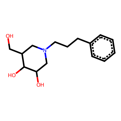 OCC1CN(CCCc2ccccc2)CC(O)C1O